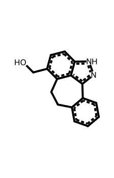 OCc1ccc2[nH]nc3c2c1CCc1ccccc1-3